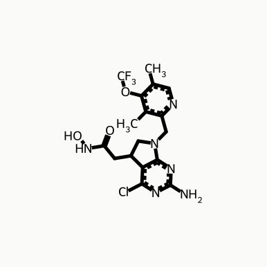 Cc1cnc(CN2CC(CC(=O)NO)c3c(Cl)nc(N)nc32)c(C)c1OC(F)(F)F